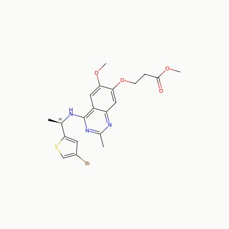 COC(=O)CCOc1cc2nc(C)nc(N[C@H](C)c3cc(Br)cs3)c2cc1OC